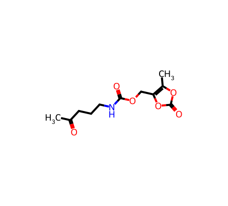 CC(=O)CCCNC(=O)OCc1oc(=O)oc1C